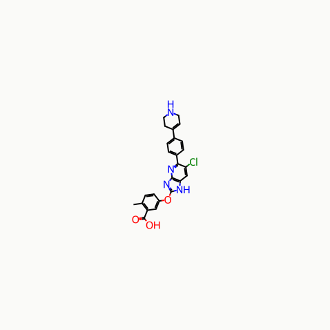 Cc1ccc(Oc2nc3nc(-c4ccc(C5=CCNCC5)cc4)c(Cl)cc3[nH]2)cc1C(=O)O